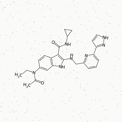 CCN(C(C)=O)c1ccc2c(C(=O)NC3CC3)c(NCc3cccc(-c4cc[nH]n4)n3)[nH]c2c1